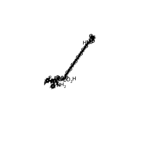 CC(C)(C)[C@H](c1cc(-c2cc(F)ccc2F)cn1Cc1ccccc1)N(CCCN)C(=O)CSC[C@H](NC(=O)CCOCCOCCOCCOCCOCCOCCOCCOCCNC(=O)CN1C(=O)C=CC1=O)C(=O)O